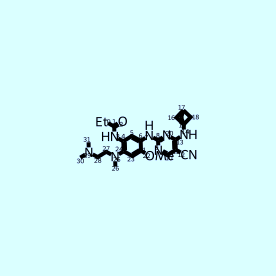 CCC(=O)Nc1cc(Nc2ncc(C#N)c(NC34CC(C3)C4)n2)c(OC)cc1N(C)CCN(C)C